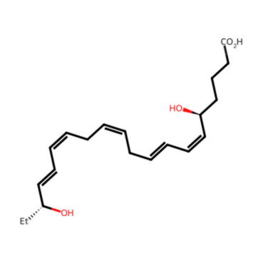 CC[C@@H](O)/C=C/C=C\C/C=C\C/C=C/C=C\[C@@H](O)CCCC(=O)O